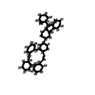 C1=C\c2ccc(-c3ccc4c(c3)c3cccnc3n4-c3ccccn3)cc2-c2ccccc2Sc2ccccc2-c2ccccc2/1